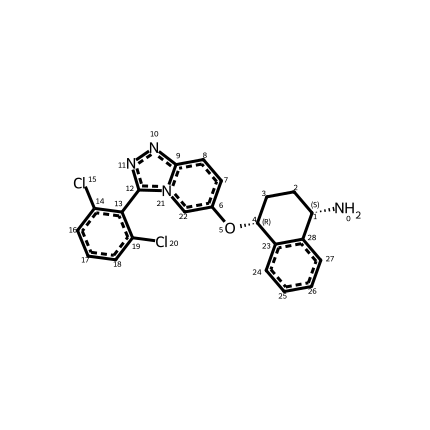 N[C@H]1CC[C@@H](Oc2ccc3nnc(-c4c(Cl)cccc4Cl)n3c2)c2ccccc21